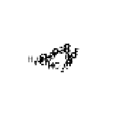 C[Si](C)(C)CCOCOc1cccc(COc2cc(COC3CN(C(=O)O)CCC3c3ccc(F)cc3)cc3ccccc23)c1